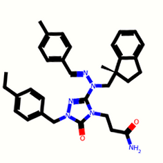 CCc1ccc(Cn2nc(N(C[C@@]3(C)CCc4ccccc43)/N=C/c3ccc(C)cc3)n(CCC(N)=O)c2=O)cc1